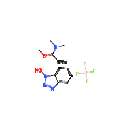 CNC(=[O+]C)N(C)C.F[B-](F)(F)F.On1nnc2ccccc21